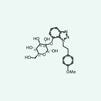 COc1ccc(CCn2nnc3cccc(O[C@@]4(O)[C@H](O)O[C@@H](CO)[C@H](O)[C@H]4O)c32)cc1